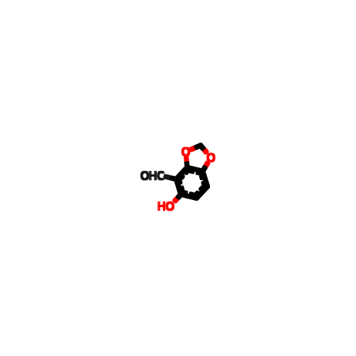 O=Cc1c(O)ccc2c1OCO2